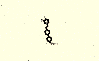 CCCCCC1CCC(C2CCC(=CCc3ccc(F)c(F)c3)CC2)CC1